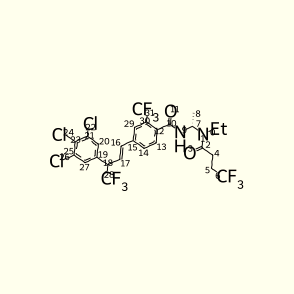 CCN(C(=O)CCC(F)(F)F)[C@@H](C)NC(=O)c1ccc(/C=C/C(c2cc(Cl)c(Cl)c(Cl)c2)C(F)(F)F)cc1C(F)(F)F